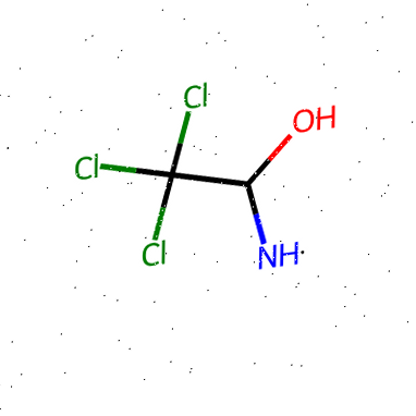 [NH]C(O)C(Cl)(Cl)Cl